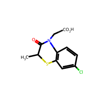 CC1Sc2cc(Cl)ccc2N(CC(=O)O)C1=O